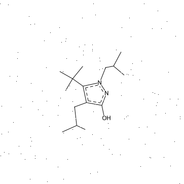 CC(C)Cc1c(O)nn(CC(C)C)c1C(C)(C)C